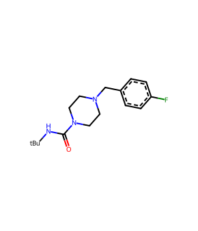 CC(C)(C)NC(=O)N1CCN(Cc2ccc(F)cc2)CC1